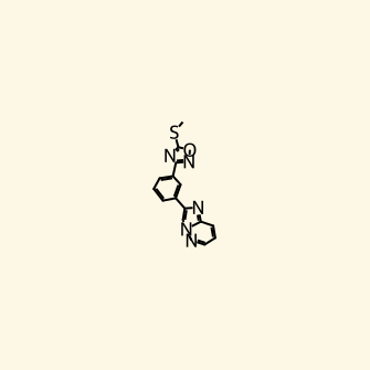 CSc1nc(-c2cccc(-c3cn4ncccc4n3)c2)no1